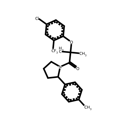 Cc1ccc(C2CCCN2C(=O)C(C)(C)Oc2ccc(Cl)cc2C(F)(F)F)cc1